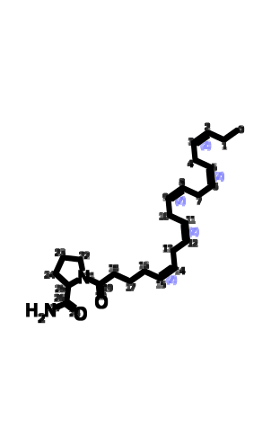 CC/C=C\C/C=C\C/C=C\C/C=C\C/C=C\CCCC(=O)N1CCCC1C(N)=O